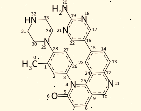 Cc1cc(-n2c(=O)ccc3cnc4ccc(-c5cnc(N)nc5)cc4c32)ccc1N1CCNCC1